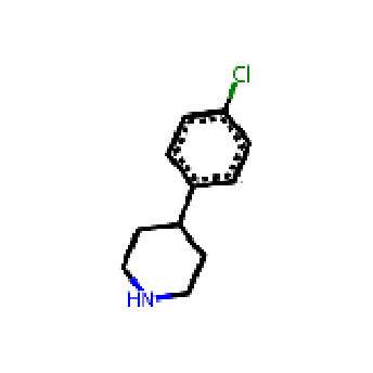 Clc1c[c]c(C2CCNCC2)cc1